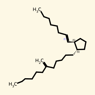 C=C(CCCCCC)CCCCC[C@H]1CCC[C@@H]1/C=C/CCCCCC